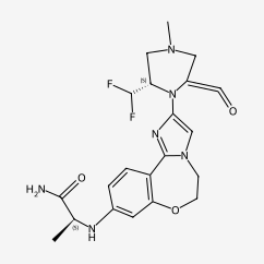 C[C@H](Nc1ccc2c(c1)OCCn1cc(N3C(=C=O)CN(C)C[C@H]3C(F)F)nc1-2)C(N)=O